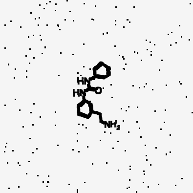 NCCc1cccc(NC(=O)Nc2ccccc2)c1